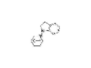 c1ccc2c(c1)CCN2C1CC2CCC1NC2